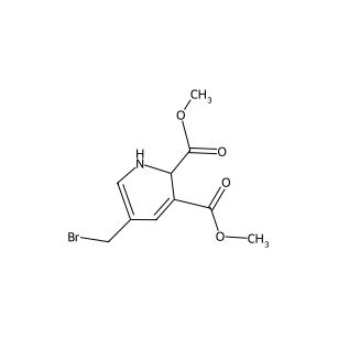 COC(=O)C1=CC(CBr)=CNC1C(=O)OC